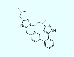 CCCCn1nc(CC(C)C)nc1Cc1ccc(-c2ccccc2-c2nnn[nH]2)cn1